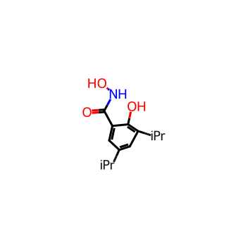 CC(C)c1cc(C(=O)NO)c(O)c(C(C)C)c1